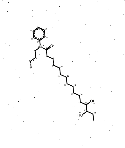 CCCCN(C(=O)CCCCCCCCCCCC(O)C(O)CC)c1ccccc1